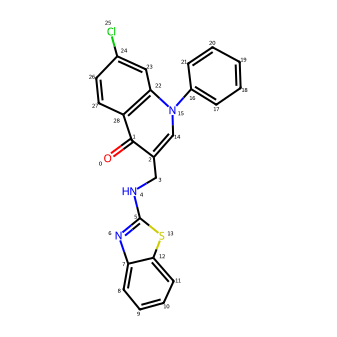 O=c1c(CNc2nc3ccccc3s2)cn(-c2ccccc2)c2cc(Cl)ccc12